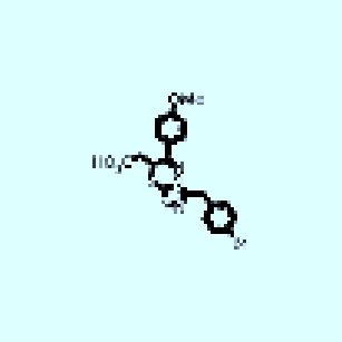 COc1ccc(C2=Nn3c(Cc4ccc(Br)cc4)nnc3SC2CC(=O)O)cc1